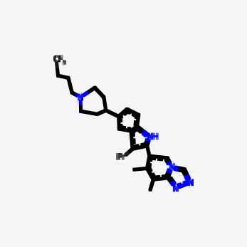 Cc1c(-c2[nH]c3ccc(C4CCN(CCCC(F)(F)F)CC4)cc3c2C(C)C)cn2cnnc2c1C